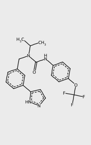 CC(C)N(Cc1cccc(-c2ccn[nH]2)c1)C(=O)Nc1ccc(OC(F)(F)F)cc1